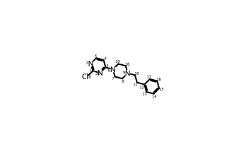 Clc1nccc(N2CCN(CCc3ccccc3)CC2)n1